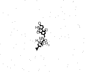 CC(C)(C(=O)NCc1cc(Cl)c(C2CCC(=O)NC2=O)c(Cl)c1)c1ncc(C2CC2)cn1